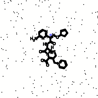 Nc1ccnc(/C(=N/OC2C=CCC2)C(=O)NC2C(=O)N3C(C(=O)[O-])=C(C[n+]4ccccc4)CS[C@H]23)n1